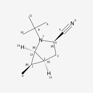 C[C@@H]1[C@@H]2C[C@H](C#N)N(C(C)(C)C)[C@H]12